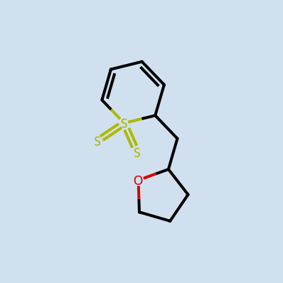 S=S1(=S)C=CC=CC1CC1CCCO1